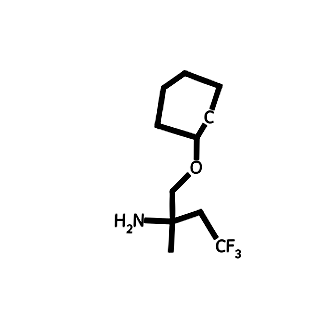 CC(N)(COC1CCCCC1)CC(F)(F)F